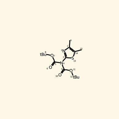 Cc1nc(N(C(=O)OC(C)(C)C)C(=O)OC(C)(C)C)sc1C